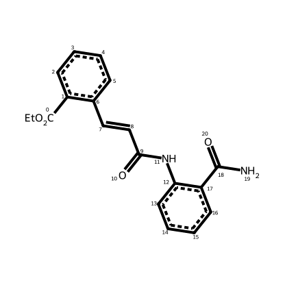 CCOC(=O)c1ccccc1/C=C/C(=O)Nc1ccccc1C(N)=O